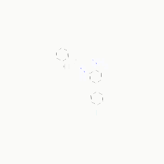 Nc1ccc(-c2ccc(F)cc2)cc1NCC1(C=O)CCc2ccccc21